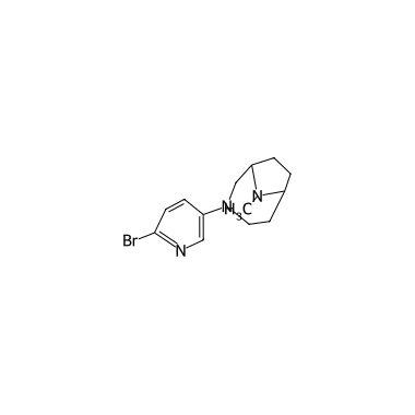 CN1C2CCC1CN(c1ccc(Br)nc1)CC2